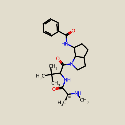 CN[C@@H](C)C(=O)NC(C(=O)N1CCC2CCC(NC(=O)c3ccccc3)C21)C(C)(C)C